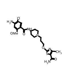 COc1cc(N)c(Cl)cc1C(=O)NC1CCN(CCCOc2nc(C)c(C(N)=O)s2)CC1